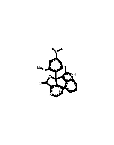 CCOc1cc(N(C)C)ccc1C1(c2c(C)[nH]c3cccc(CC)c23)OC(=O)c2ncccc21